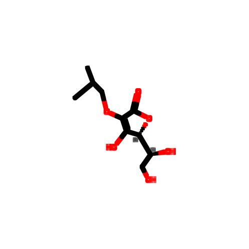 CC(C)COC1=C(O)[C@@H]([C@@H](O)CO)OC1=O